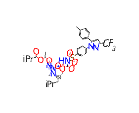 Cc1ccc(-c2cc(C(F)(F)F)nn2-c2ccc(S(=O)(=O)NC(=O)OC[C@H](CC(C)C)N(C)/[N+]([O-])=N/OC(C)OC(=O)C(C)C)cc2)cc1